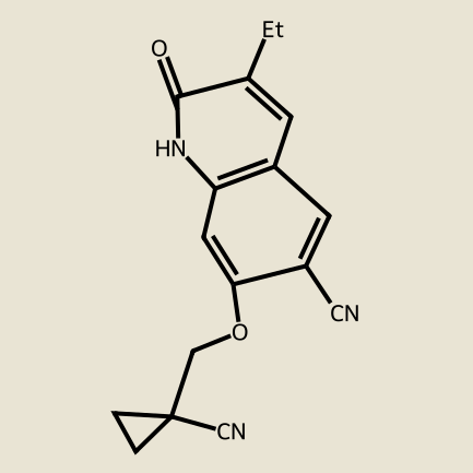 CCc1cc2cc(C#N)c(OCC3(C#N)CC3)cc2[nH]c1=O